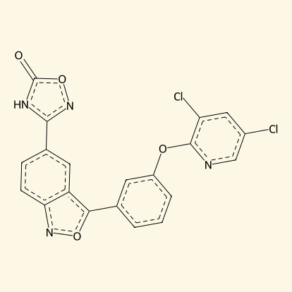 O=c1[nH]c(-c2ccc3noc(-c4cccc(Oc5ncc(Cl)cc5Cl)c4)c3c2)no1